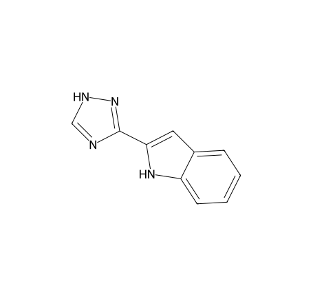 c1ccc2[nH]c(-c3nc[nH]n3)cc2c1